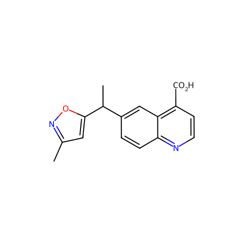 Cc1cc(C(C)c2ccc3nccc(C(=O)O)c3c2)on1